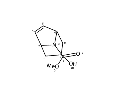 COC(=O)N1C2C=CC1CC(O)C2